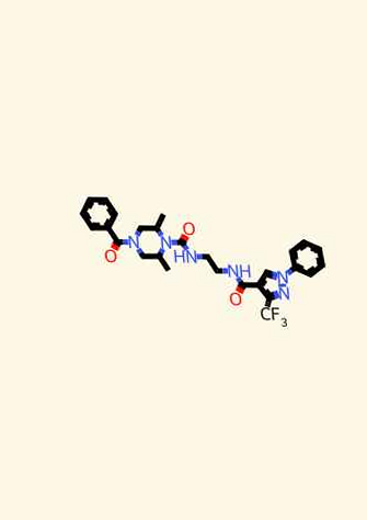 CC1CN(C(=O)c2ccccc2)CC(C)N1C(=O)NCCNC(=O)c1cn(-c2ccccc2)nc1C(F)(F)F